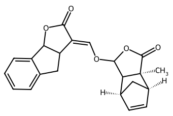 C[C@@]12C(=O)OC(O/C=C3/C(=O)OC4c5ccccc5CC34)C1[C@@H]1C=C[C@H]2C1